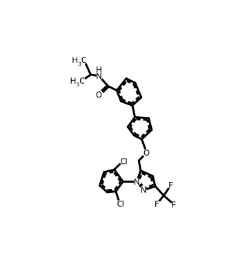 CC(C)NC(=O)c1cccc(-c2ccc(OCc3cc(C(F)(F)F)nn3-c3c(Cl)cccc3Cl)cc2)c1